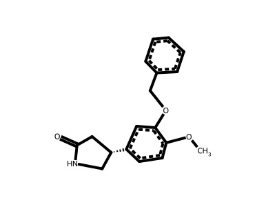 COc1ccc([C@@H]2CNC(=O)C2)cc1OCc1ccccc1